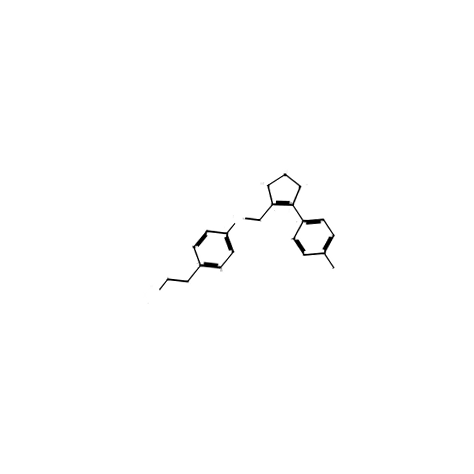 Cc1ccc(C2=C(COc3ccc(CCC(=O)O)cc3)CCC2)cc1